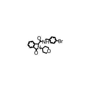 O=C(NCc1ccc(Br)cc1)C1c2ccccc2C(=O)N1C1CCOCC1